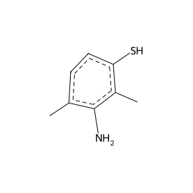 Cc1ccc(S)c(C)c1N